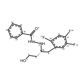 O=C(NN[C@@H](CCO)Cc1cc(F)c(F)cc1F)c1ccccc1